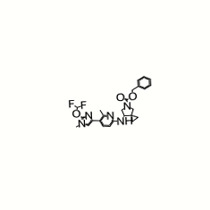 Cc1nc(N[C@@H]2CN(C(=O)OCc3ccccc3)CC23CC3)ccc1-c1cn(C)c(OC(F)F)n1